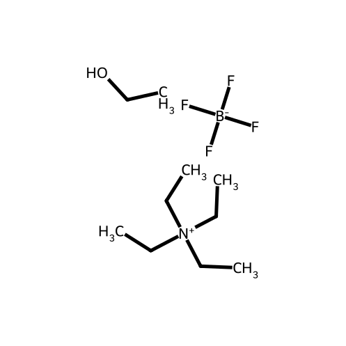 CCO.CC[N+](CC)(CC)CC.F[B-](F)(F)F